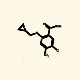 COC(=O)c1cc(Cl)c(N)cc1OCC1CC1